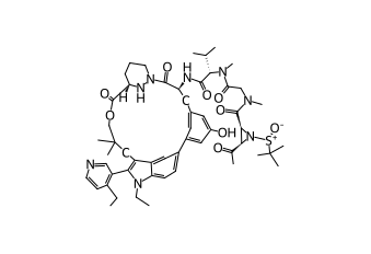 CCc1ccncc1-c1c2c3cc(ccc3n1CC)-c1cc(O)cc(c1)C[C@H](NC(=O)[C@H](C(C)C)N(C)C(=O)CN(C)C(=O)[C@@H]1[C@H](C(C)=O)N1[S@@+]([O-])C(C)(C)C)C(=O)N1CCC[C@H](N1)C(=O)OCC(C)(C)C2